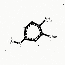 CNc1cc(SC(F)(F)F)ccc1N